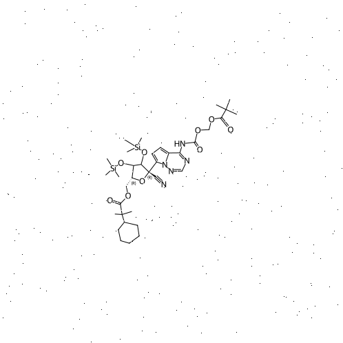 CC(C)(C)C(=O)OCOC(=O)Nc1ncnn2c([C@]3(C#N)O[C@H](COC(=O)C(C)(C)C4CCCCC4)C(O[Si](C)(C)C)C3O[Si](C)(C)C)ccc12